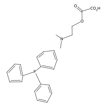 CN(C)CCOC(=O)C(=O)O.c1ccc(P(c2ccccc2)c2ccccc2)cc1